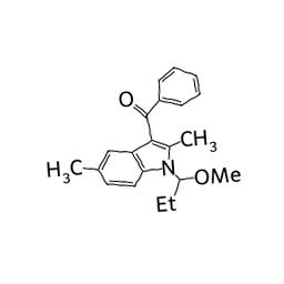 CCC(OC)n1c(C)c(C(=O)c2ccccc2)c2cc(C)ccc21